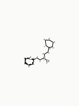 CCN(CCc1ccccc1)CCC1CCCCC1